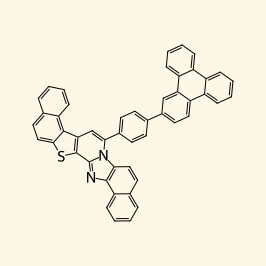 c1ccc2c(c1)ccc1c2nc2c3sc4ccc5ccccc5c4c3cc(-c3ccc(-c4ccc5c6ccccc6c6ccccc6c5c4)cc3)n12